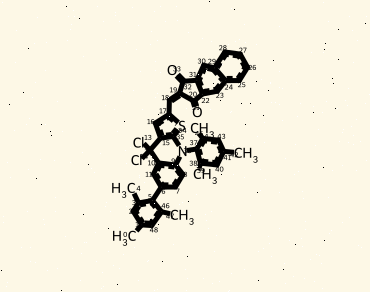 Cc1cc(C)c(-c2ccc3c(c2)C(Cl)(Cl)c2cc(C=C4C(=O)c5cc6ccccc6cc5C4=O)sc2N3c2c(C)cc(C)cc2C)c(C)c1